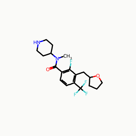 CN(C(=O)c1ccc(C(F)(F)F)c(CC2CCCO2)c1F)C1CCNCC1